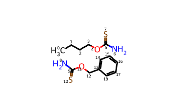 CCCCOC(N)=S.NC(=S)OCc1ccccc1